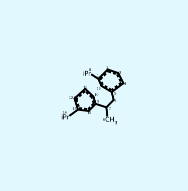 CC(C)c1[c]ccc(CC(C)c2cc[c]c(C(C)C)c2)c1